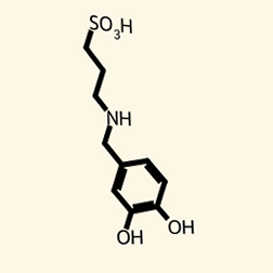 O=S(=O)(O)CCCNCc1ccc(O)c(O)c1